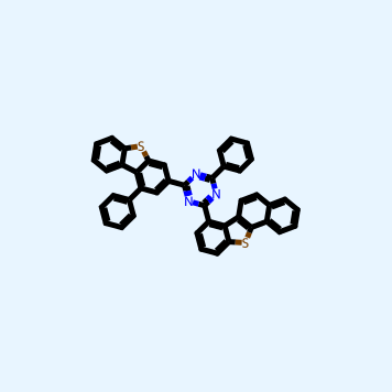 c1ccc(-c2nc(-c3cc(-c4ccccc4)c4c(c3)sc3ccccc34)nc(-c3cccc4sc5c6ccccc6ccc5c34)n2)cc1